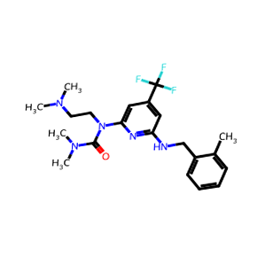 Cc1ccccc1CNc1cc(C(F)(F)F)cc(N(CCN(C)C)C(=O)N(C)C)n1